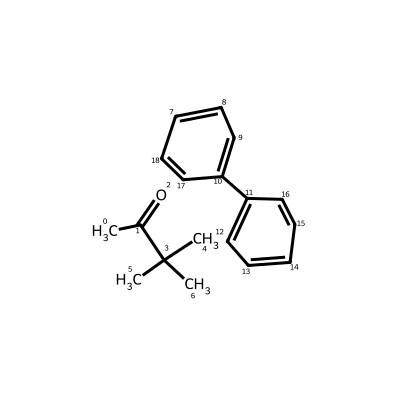 CC(=O)C(C)(C)C.c1ccc(-c2ccccc2)cc1